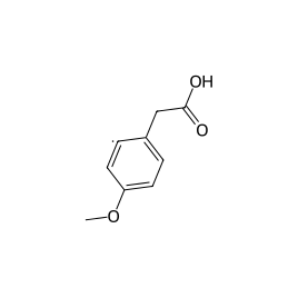 COc1c[c]c(CC(=O)O)cc1